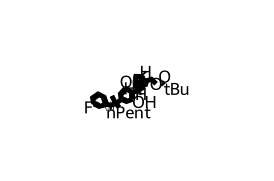 CCCCC[C@@H](c1cccc(F)c1)C(C)(C)c1cc(O)c([C@H]2C=C(COC(=O)C(C)(C)C)[C@H]3C[C@@H]2C3(C)C)c(O)c1